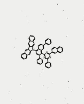 c1ccc(-c2ccc3c(-n4c5cc6ccccc6cc5c5cc6ccccc6cc54)cc(-c4ccccc4)c(-c4nc(-c5ccccc5)nc(-c5ccc6ccccc6c5)n4)c3c2)cc1